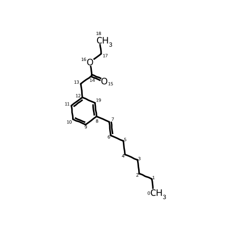 CCCCCCC=Cc1cccc(CC(=O)OCC)c1